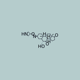 C[C@]12CC/C(=N\OC3CNC3)CC1[C@@H](CO)C(=O)[C@@H]1[C@@H]2CC[C@]2(C)C(=O)CC[C@@H]12